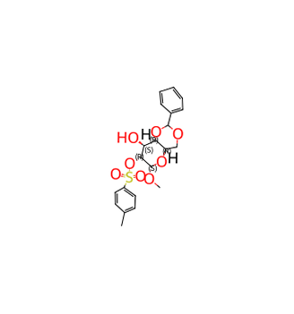 CO[C@H]1O[C@@H]2COC(c3ccccc3)O[C@@H]2[C@H](O)[C@H]1OS(=O)(=O)c1ccc(C)cc1